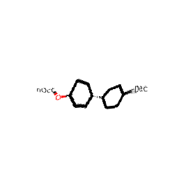 CCCCCCCCCCC1CCC([C@H]2CC[C@H](OCCCCCCCC)CC2)CC1